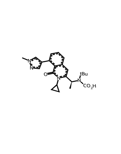 C[C@@H](c1cc2cccc(-c3cnn(C)c3)c2c(=O)n1C1CC1)N(C(=O)O)C(C)(C)C